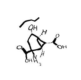 CCCC.N[C@@]1(C(=O)O)C[C@H](O)[C@H]2[C@H](C(=O)O)[C@H]21